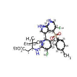 CCOC(=O)CC(Nc1nc(-c2c[nH]c3ncc(F)c(S(=O)(=O)c4ccc(C)cc4)c23)c(C#N)cc1F)C(C)(C)CC